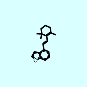 CC1=C(/C=C/c2cccc3occc23)C(C)(C)CCC1